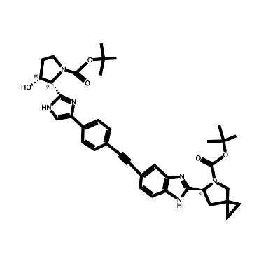 CC(C)(C)OC(=O)N1CC[C@@H](O)[C@H]1c1nc(-c2ccc(C#Cc3ccc4[nH]c([C@@H]5CC6(CC6)CN5C(=O)OC(C)(C)C)nc4c3)cc2)c[nH]1